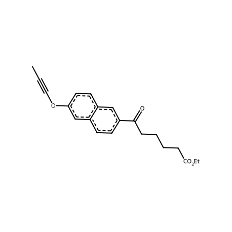 CC#COc1ccc2cc(C(=O)CCCCC(=O)OCC)ccc2c1